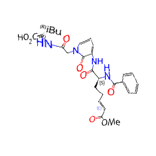 CC[C@@H](C)[C@@H](NC(=O)Cn1cccc(NC(=O)[C@H](CC/C=C/C(=O)OC)NC(=O)c2ccccc2)c1=O)C(=O)O